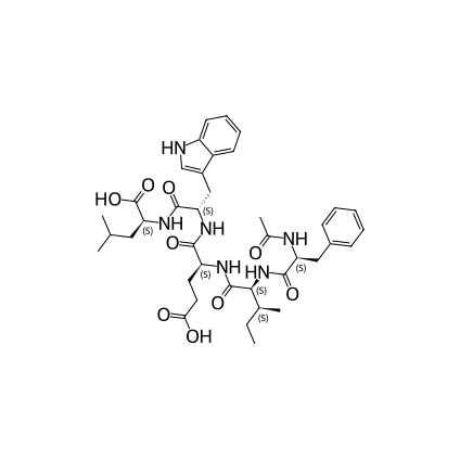 CC[C@H](C)[C@H](NC(=O)[C@H](Cc1ccccc1)NC(C)=O)C(=O)N[C@@H](CCC(=O)O)C(=O)N[C@@H](Cc1c[nH]c2ccccc12)C(=O)N[C@@H](CC(C)C)C(=O)O